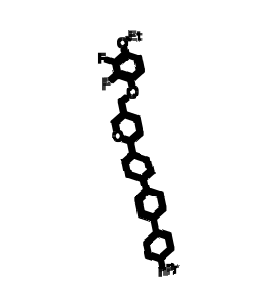 CCCC1CCC(C2CCC(C3CCC(C4CCC(COc5ccc(OCC)c(F)c5F)CO4)CC3)CC2)CC1